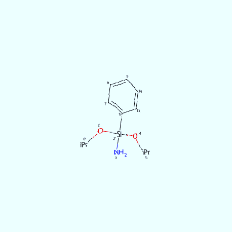 CC(C)O[Si](N)(OC(C)C)c1ccccc1